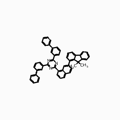 CC1(C)c2ccccc2-c2cccc(-c3ccc4cccc(-c5nc(-c6cccc(-c7ccccc7)c6)nc(-c6cccc(-c7ccccc7)c6)n5)c4c3)c21